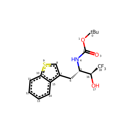 CC(C)(C)OC(=O)N[C@@H](Cc1csc2ccccc12)[C@H](O)C(F)(F)F